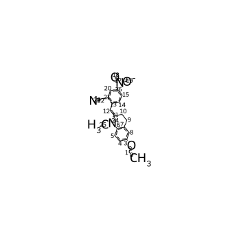 CCOc1ccc2c(c1)CC/C(=C\c1ccc([N+](=O)[O-])cc1C#N)N2C